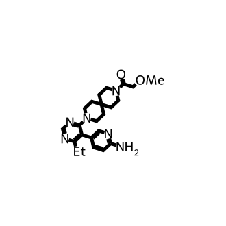 CCc1ncnc(N2CCC3(CCN(C(=O)COC)CC3)CC2)c1-c1ccc(N)nc1